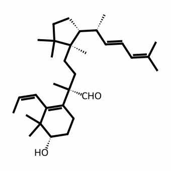 C/C=C\C1=C([C@](C)(C=O)CC[C@]2(C)[C@@H]([C@H](C)/C=C/C=C(C)C)CCC2(C)C)CC[C@H](O)C1(C)C